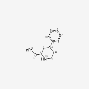 CCCOC1CN(c2ccccc2)CCN1